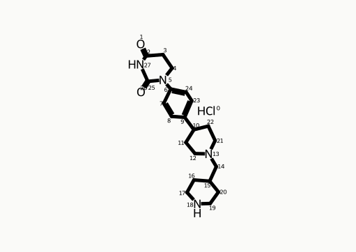 Cl.O=C1CCN(c2ccc(C3CCN(CC4CCNCC4)CC3)cc2)C(=O)N1